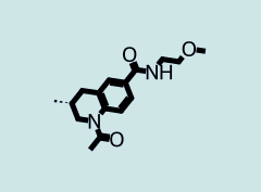 COCCNC(=O)c1ccc2c(c1)C[C@@H](C)CN2C(C)=O